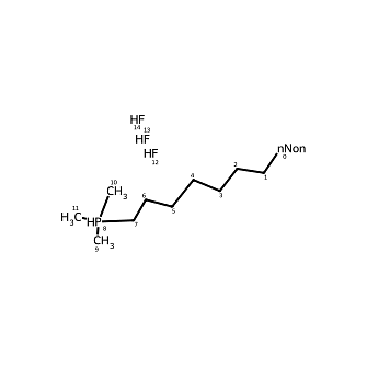 CCCCCCCCCCCCCCCC[PH](C)(C)C.F.F.F